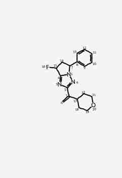 C=C(c1nc2n(n1)C(c1ccccc1)CC2F)C1CCOCC1